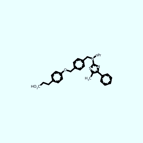 CCCN(Cc1ccc(COc2ccc(CCC(=O)O)cc2)cc1)c1nc(-c2ccccc2)c(C)s1